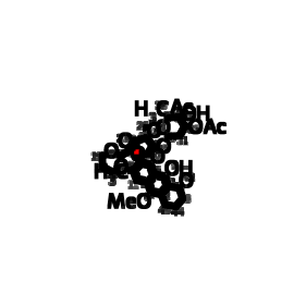 COc1c2c(c(O)c3c4c(c(C)cc13)C1C3OC5(C6OCCCO6)OC15[C@]1(CO1)[C@]3(OC1CC(OC(C)=O)C(O)(C(C)=O)C(C)O1)O4)C(=O)CCC2